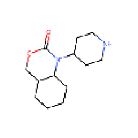 O=C1OCC2CCCCC2N1C1CCNCC1